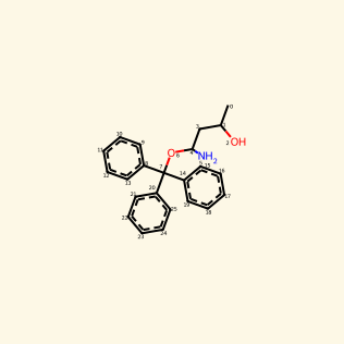 CC(O)CC(N)OC(c1ccccc1)(c1ccccc1)c1ccccc1